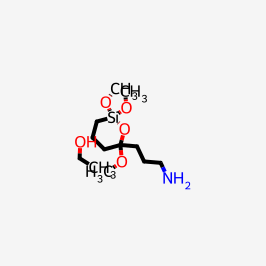 CCO.COC1(CCCN)CCC[Si](OC)(OC)O1